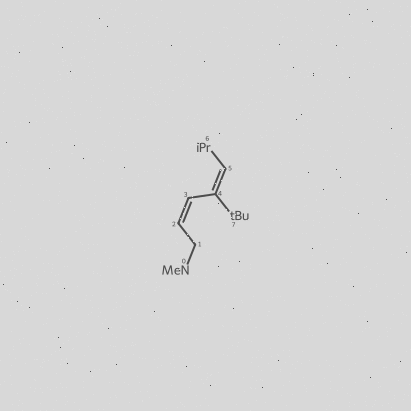 CNC/C=C\C(=C/C(C)C)C(C)(C)C